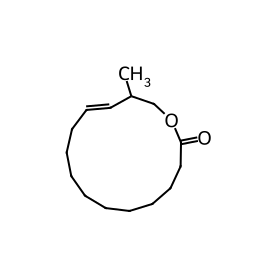 CC1/C=C/CCCCCCCCCC(=O)OC1